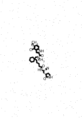 COc1ccc2[nH]c(C(=O)N(C)CC3(CCCCC(=O)N[C@H](C#N)C[C@@H]4CCNC4=O)CCCCC3)cc2c1Cl